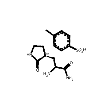 Cc1ccc(S(=O)(=O)O)cc1.NC(=O)C(N)C[C@@H]1CCNC1=O